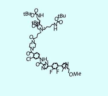 COCCn1ncc(-c2ccc(-c3cnc(C(=O)Nc4ccc(C(=O)N5CCN(C(=O)CCC[N+](CCCCNC(=O)OC(C)(C)C)(CCCCNC(=O)OC(C)(C)C)CC(=O)OC(C)(C)C)CC5)c(Cl)c4)n3C)c(F)c2F)c1C